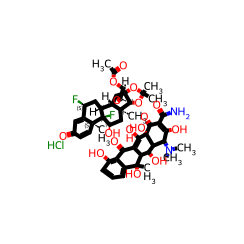 CC(=O)OCC(=O)[C@@]12OC(C)(C)O[C@@H]1C[C@H]1[C@@H]3C[C@H](F)C4=CC(=O)C=C[C@]4(C)[C@@]3(F)[C@@H](O)C[C@@]12C.CN(C)C1C(O)=C(C(N)=O)C(=O)C2(O)C(O)=C3C(=O)c4c(O)cccc4C(C)(O)C3C(O)C12.Cl